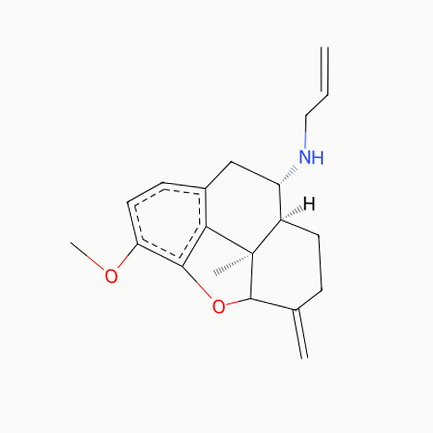 C=CCN[C@H]1Cc2ccc(OC)c3c2[C@]2(C)C(O3)C(=C)CC[C@H]12